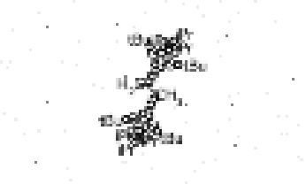 C=Cc1cc2cc3c(cc2cc1CCc1cc2cc4c(cc2cc1C)C1=CC=C2c5c(Oc6ccc(C(C)(C)C)cc6)cc6c7c(cc(Oc8ccc(C(C)(C)C)cc8)c(c57)C5=CC=C4C1C25)C(=O)N(c1c(C(C)C)cc(C(C)C)cc1C(C)C)C6=O)-c1ccc2c4c(Oc5ccc(C(C)(C)C)cc5)cc5c6c(cc(Oc7ccc(C(C)(C)C)cc7)c(c7ccc-3c1c72)c64)C(=O)N(c1c(C(C)C)cc(C(C)C)cc1C(C)C)C5=O